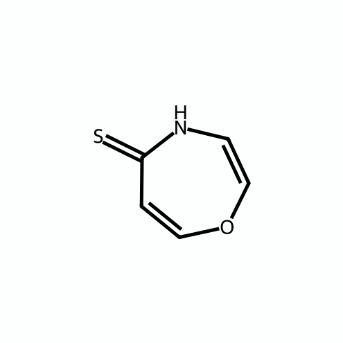 S=C1C=COC=CN1